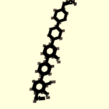 C=CC1CCC(C2CCC(c3ccc(-c4ccc(-c5ccc(CCCCCC)c(F)c5F)cc4)c(F)c3)CC2)CC1